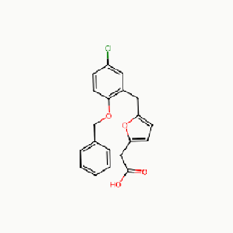 O=C(O)Cc1ccc(Cc2cc(Cl)ccc2OCc2ccccc2)o1